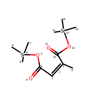 C/C(=C/C(=O)O[Si](C)(C)C)C(=O)O[Si](C)(C)C